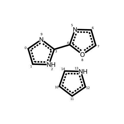 c1c[nH]c(-c2ncco2)n1.c1cc[nH]c1